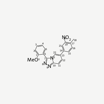 COc1ccccc1-c1nnc2ccc(-c3ccc(C)c([N+](=O)[O-])c3)cn12